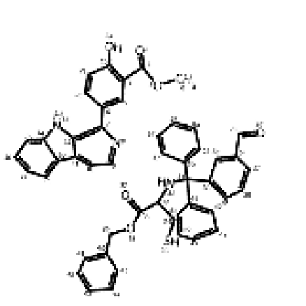 COC(=O)c1cc(-c2nccc3c2[nH]c2ccccc23)ccc1O.O=Cc1cccc(C(NC(CS)C(=O)OCc2ccccc2)(c2ccccc2)c2ccccc2)c1